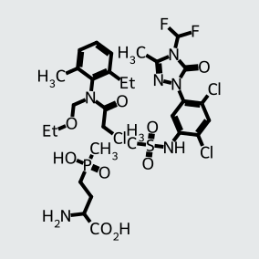 CCOCN(C(=O)CCl)c1c(C)cccc1CC.CP(=O)(O)CCC(N)C(=O)O.Cc1nn(-c2cc(NS(C)(=O)=O)c(Cl)cc2Cl)c(=O)n1C(F)F